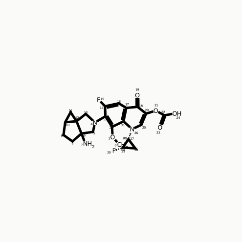 COc1c(N2CC3(N)CCC4CC43C2)c(F)cc2c(=O)c(OC(=O)O)cn([C@@H]3C[C@@H]3F)c12